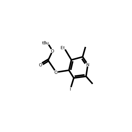 CCc1c(C)nc(C)c(I)c1OC(=O)OC(C)(C)C